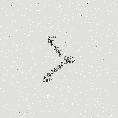 [Br-].[Br-].[Br-].[Br-].[Br-].[Br-].[Br-].[Br-].[Br-].[Br-].[Br-].[Ce+3].[Co+2].[Mn+2].[Zr+4]